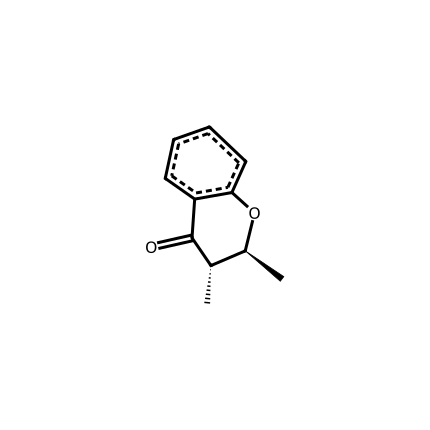 C[C@@H]1Oc2ccccc2C(=O)[C@H]1C